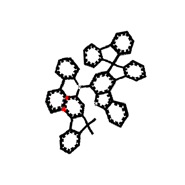 CC1(C)c2ccccc2-c2ccc(N(c3ccccc3-c3ccccc3)c3cc4c(c5c3sc3ccccc35)-c3ccccc3C43c4ccccc4-c4ccccc43)cc21